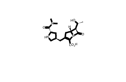 C[C@@H](O)[C@H]1C(=O)N2C(C(=O)O)=C(C[C@H]3CN[C@H](C(=O)N(C)C)C3)C[C@H]12